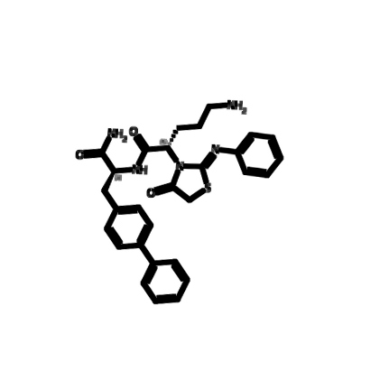 NCCC[C@@H](C(=O)N[C@@H](Cc1ccc(-c2ccccc2)cc1)C(N)=O)N1C(=O)CSC1=Nc1ccccc1